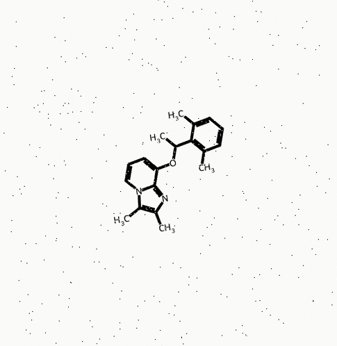 Cc1cccc(C)c1C(C)Oc1cccn2c(C)c(C)nc12